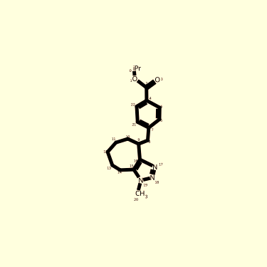 CC(C)OC(=O)c1ccc(CC2CCCCCc3c2nnn3C)cc1